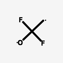 [CH2]C([O])(F)F